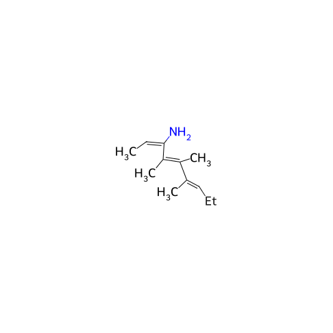 C\C=C(N)/C(C)=C(C)/C(C)=C/CC